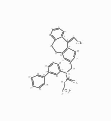 N#CC=C1c2ccccc2CCc2cc(CN(C(=O)CC(=O)O)c3cccc(-c4ccccc4)c3)ccc21